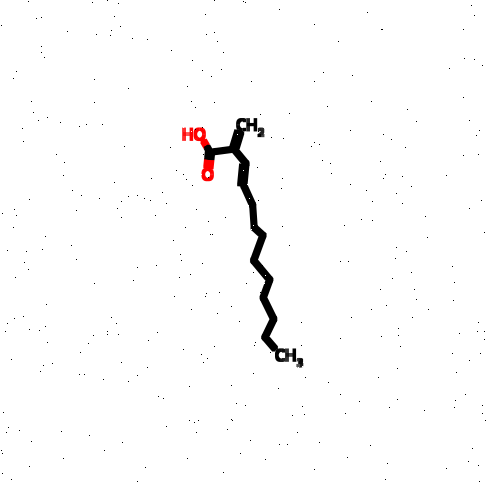 C=C(/C=C/CCCCCCCCC)C(=O)O